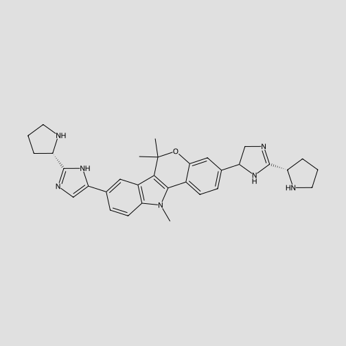 Cn1c2c(c3cc(-c4cnc([C@@H]5CCCN5)[nH]4)ccc31)C(C)(C)Oc1cc(C3CN=C([C@@H]4CCCN4)N3)ccc1-2